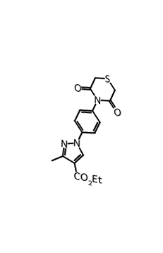 CCOC(=O)c1cn(-c2ccc(N3C(=O)CSCC3=O)cc2)nc1C